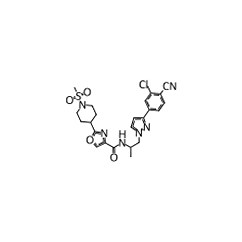 CC(Cn1ccc(-c2ccc(C#N)c(Cl)c2)n1)NC(=O)c1coc(C2CCN(S(C)(=O)=O)CC2)n1